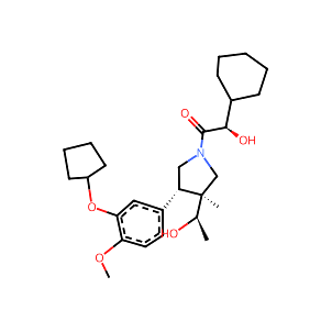 COc1ccc([C@@H]2CN(C(=O)[C@H](O)C3CCCCC3)C[C@@]2(C)[C@@H](C)O)cc1OC1CCCC1